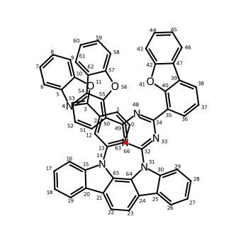 c1cc(-c2nc3ccccc3o2)cc(-n2c3ccccc3c3ccc4c5ccccc5n(-c5nc(-c6cccc7c6oc6ccccc67)nc(-c6cccc7c6oc6ccccc67)n5)c4c32)c1